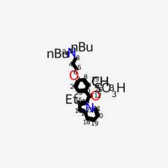 CCCCN(CCCC)CCCOc1ccc(C(=O)c2c(CC)cc3ccccn23)cc1.CS(=O)(=O)O